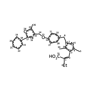 CCC(=Cc1c(C)nn(Cc2ccc(OCc3nc(-c4ccccc4)oc3C)cc2)c1C)C(=O)O